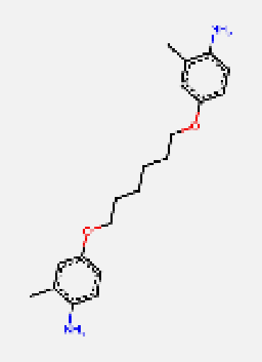 Cc1cc(OCCCCCCOc2ccc(N)c(C)c2)ccc1N